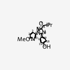 COc1ccc(-n2nc(C(=O)C(C)C)nc2-c2ccc(O)cc2)cn1